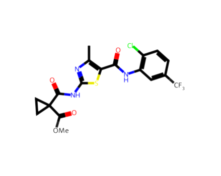 COC(=O)C1(C(=O)Nc2nc(C)c(C(=O)Nc3cc(C(F)(F)F)ccc3Cl)s2)CC1